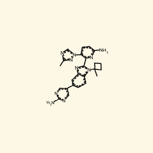 Cc1ncn(-c2ccc(N)nc2-c2nc3cc(-c4cnc(N)nc4)ccc3n2C2(C)CCC2)n1